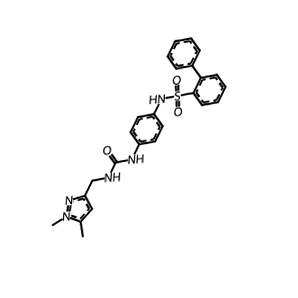 Cc1cc(CNC(=O)Nc2ccc(NS(=O)(=O)c3ccccc3-c3ccccc3)cc2)nn1C